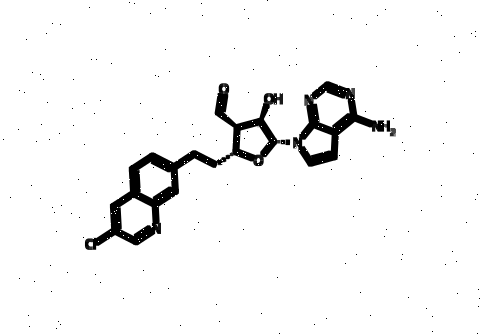 Nc1ncnc2c1ccn2[C@@H]1O[C@H](CCc2ccc3cc(Cl)cnc3c2)[C@@H](C=O)[C@H]1O